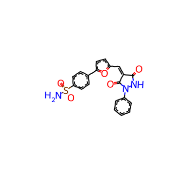 NS(=O)(=O)c1ccc(-c2ccc(C=C3C(=O)NN(c4ccccc4)C3=O)o2)cc1